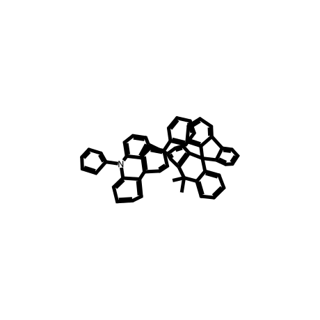 CC1(C)c2ccccc2C2(c3ccccc3-c3ccccc32)c2ccc(-c3cccc(N(c4ccccc4)c4ccccc4-c4ccc(-c5ccccc5)cc4)c3)cc21